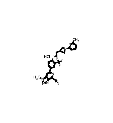 Cc1cccc(N2CC(CCOc3ccc(-c4cc5c(nnn5C)c(C#N)n4)cc3C(F)(F)F)C2)n1.Cl